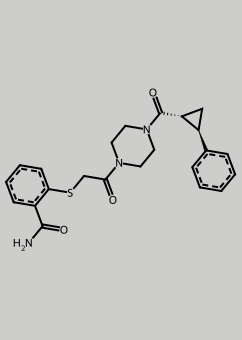 NC(=O)c1ccccc1SCC(=O)N1CCN(C(=O)[C@@H]2C[C@H]2c2ccccc2)CC1